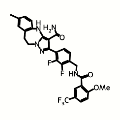 COc1ccc(C(F)(F)F)cc1C(=O)NCc1ccc(-c2nn3c(c2C(N)=O)Nc2ccc(C)cc2CC3)c(F)c1F